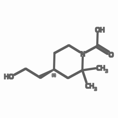 CC1(C)C[C@@H](CCO)CCN1C(=O)O